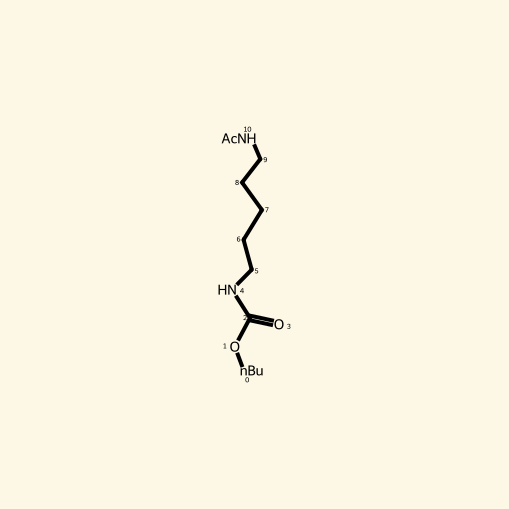 CCCCOC(=O)NCCCCCNC(C)=O